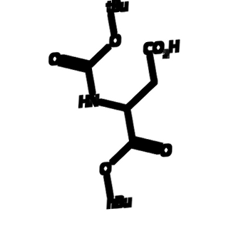 CCCCOC(=O)C(CC(=O)O)NC(=O)OC(C)(C)C